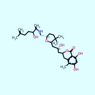 C=C(C)CCC(O)C(=C)NC[C@@H]1CCC(C)(C)C(C[C@H](O)CC2Cc3c(C)c(O)cc(O)c3C(=O)O2)O1